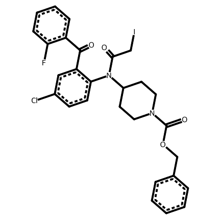 O=C(c1ccccc1F)c1cc(Cl)ccc1N(C(=O)CI)C1CCN(C(=O)OCc2ccccc2)CC1